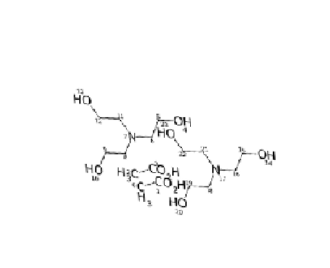 CC(=O)O.CC(=O)O.OCCN(CCO)CCO.OCCN(CCO)CCO